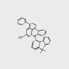 CC1(C)c2ccccc2-c2c(N(c3cccc(Cl)c3)c3ccccc3-c3ccc(-c4ccccc4)cc3)cccc21